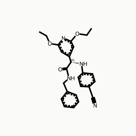 CCOc1cc([C@H](Nc2ccc(C#N)cc2)C(=O)NCc2ccccc2)cc(OCC)n1